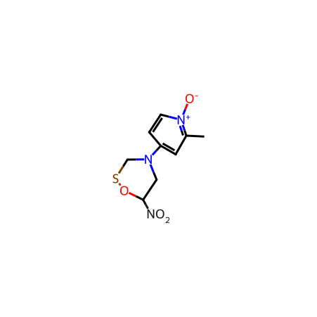 Cc1cc(N2CSOC([N+](=O)[O-])C2)cc[n+]1[O-]